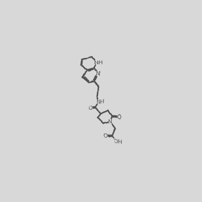 O=C(O)CN1CCC(C(=O)NCCc2ccc3c(n2)NCCC3)CC1=O